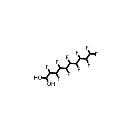 OC(O)C(F)C(F)C(F)C(F)C(F)C(F)C(F)C(F)C(F)F